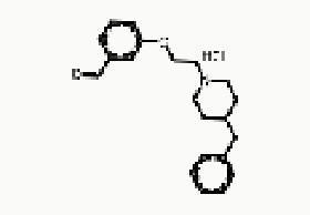 Cl.O=Cc1cccc(OCCN2CCC(Cc3ccccc3)CC2)c1